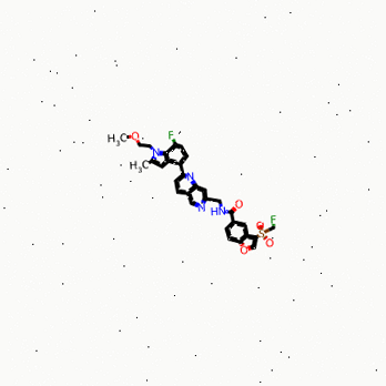 COCCn1c(C)cc2c(-c3ccc4cnc(CNC(=O)c5ccc6occ(S(=O)(=O)CF)c6c5)cc4n3)ccc(F)c21